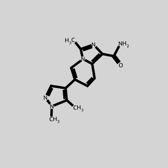 Cc1c(-c2ccc3c(C(N)=O)nc(C)n3c2)cnn1C